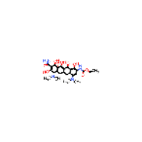 C=COC(=O)Nc1cc(N(C)C)c2c(c1O)C(=O)C1=C(O)[C@]3(O)C(=O)C(C(N)=O)=C(O)[C@@H](N(C)C)C3CC1C2